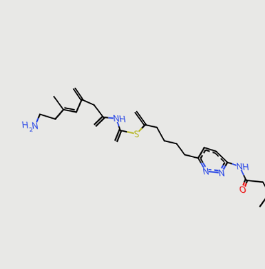 C=C(/C=C(\C)CCN)CC(=C)NC(=C)SC(=C)CCCCc1ccc(NC(=O)C/C(C)=C/C)nn1